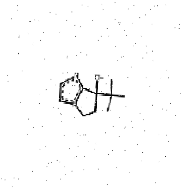 CC(C)(C)[C@]1(O)CCn2ccnc21